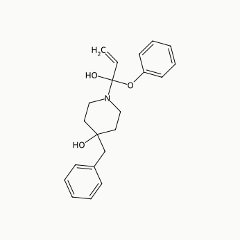 C=CC(O)(Oc1ccccc1)N1CCC(O)(Cc2ccccc2)CC1